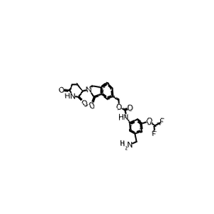 NCc1cc(NC(=O)OCc2ccc3c(c2)C(=O)N(C2CCC(=O)NC2=O)C3)cc(OC(F)F)c1